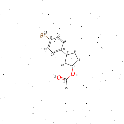 CC(=O)OC1CCC(c2ccc(Br)cc2)C1